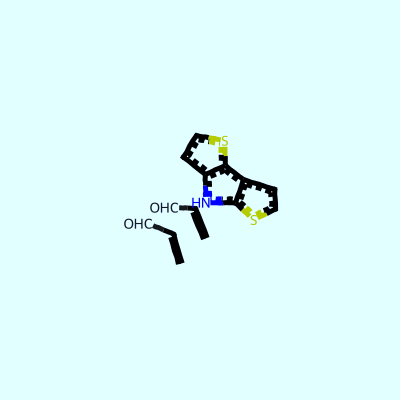 C=CC=O.C=CC=O.c1cc2c([nH]c3ccsc32)s1